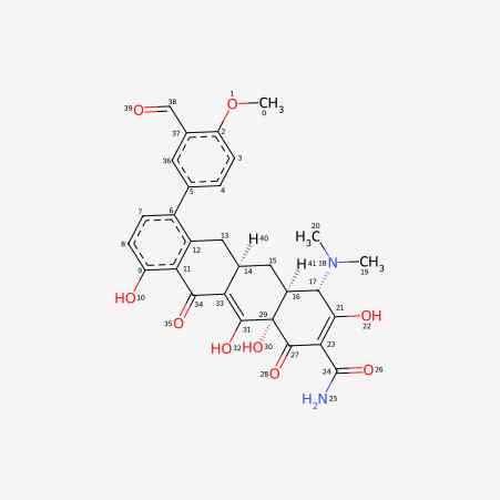 COc1ccc(-c2ccc(O)c3c2C[C@H]2C[C@H]4[C@H](N(C)C)C(O)=C(C(N)=O)C(=O)[C@@]4(O)C(O)=C2C3=O)cc1C=O